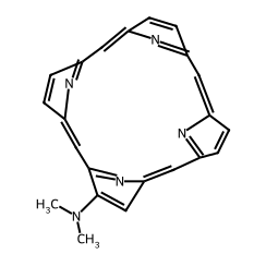 CN(C)C1=CC2=CC3=NC(=CC4=NC(=CC5=NC(=CC1=N2)C=C5)C=C4)C=C3